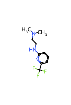 CN(C)CCNc1cccc(C(F)(F)F)n1